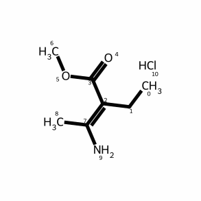 CCC(C(=O)OC)=C(C)N.Cl